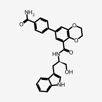 NC(=O)c1ccc(-c2cc3c(c(C(=O)N[C@@H](CO)Cc4c[nH]c5ccccc45)c2)OCCO3)cc1